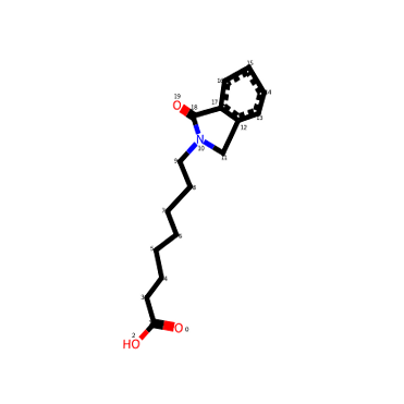 O=C(O)CCCCCCCN1Cc2ccccc2C1=O